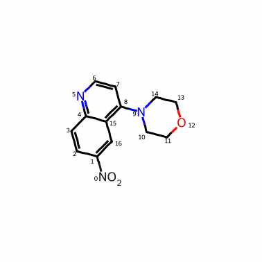 O=[N+]([O-])c1ccc2nccc(N3CCOCC3)c2c1